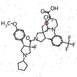 COC[C@@]1(F)CN(C(=O)[C@]2(F)CN(C3CCCC3)C[C@H]2c2ccc(OC)cc2)C[C@@H]1c1ccc(C(F)(F)F)cc1N1CCC(C(=O)O)CC1